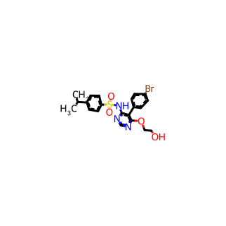 CC(C)c1ccc(S(=O)(=O)Nc2ncnc(OCCO)c2-c2ccc(Br)cc2)cc1